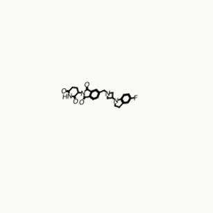 O=C1CCC(N2C(=O)c3ccc(CN4CC(N5CCc6cc(F)ccc65)C4)cc3C2=O)C(=O)N1